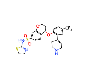 O=S(=O)(Nc1nccs1)c1ccc2c(c1)OCCC2Oc1ccc(C(F)(F)F)cc1C1=CCNCC1